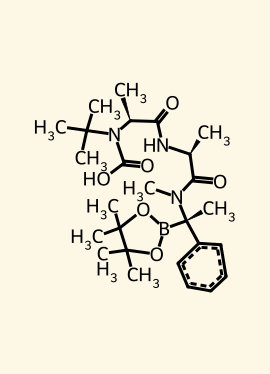 C[C@H](NC(=O)[C@H](C)N(C(=O)O)C(C)(C)C)C(=O)N(C)[C@@](C)(B1OC(C)(C)C(C)(C)O1)c1ccccc1